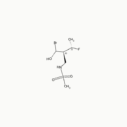 C[C@H](F)[C@@H](CNS(C)(=O)=O)C(O)Br